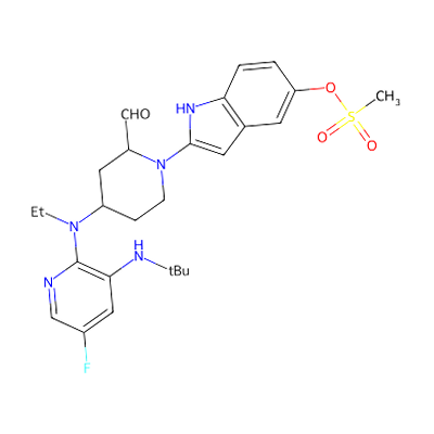 CCN(c1ncc(F)cc1NC(C)(C)C)C1CCN(c2cc3cc(OS(C)(=O)=O)ccc3[nH]2)C(C=O)C1